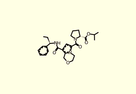 CC[C@@H](NC(=O)c1cc(C(=O)N2CCC[C@@H]2C(=O)OC(C)C)n2c1COCC2)c1ccccc1